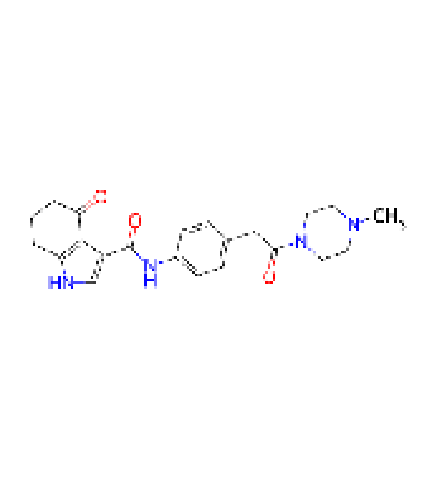 CN1CCN(C(=O)Cc2ccc(NC(=O)c3c[nH]c4c3C(=O)CCC4)cc2)CC1